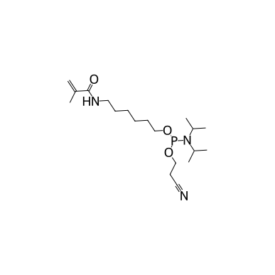 C=C(C)C(=O)NCCCCCCOP(OCCC#N)N(C(C)C)C(C)C